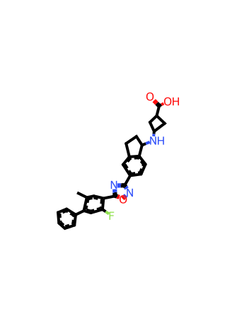 Cc1cc(-c2nc(-c3ccc4c(c3)CCC4NC3CC(C(=O)O)C3)no2)c(F)cc1-c1ccccc1